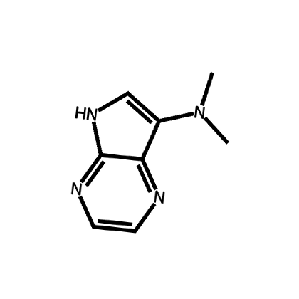 CN(C)c1c[nH]c2nccnc12